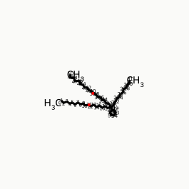 CCCCCCCCCCCCCCCCCCCC(CCCCCCCCCCCC)(CCCCCCCCCCCCCCCCCCC)[n+]1ccccc1